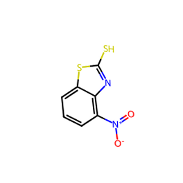 O=[N+]([O-])c1cccc2sc(S)nc12